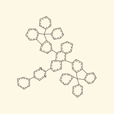 c1ccc(-c2cnc(-c3ccc4c(-c5ccc6c(c5)C(c5ccccc5)(c5ccccc5)c5ccccc5-6)c5ccccc5c(-c5ccc6c(c5)C(c5ccccc5)(c5ccccc5)c5ccccc5-6)c4c3)nc2)cc1